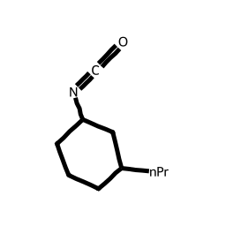 CCCC1CCCC(N=C=O)C1